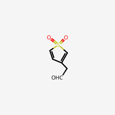 O=CCC1=CS(=O)(=O)C=C1